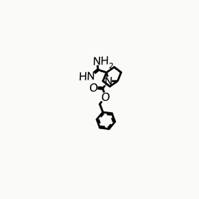 N=C(N)C12CCC(CC1)N2C(=O)OCc1ccccc1